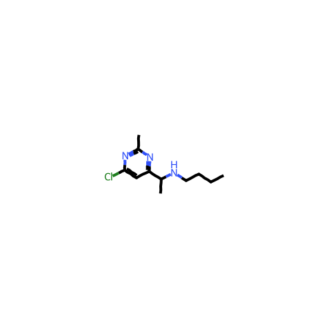 CCCCNC(C)c1cc(Cl)nc(C)n1